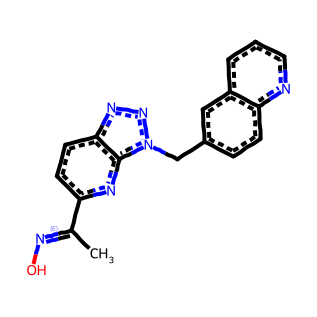 C/C(=N\O)c1ccc2nnn(Cc3ccc4ncccc4c3)c2n1